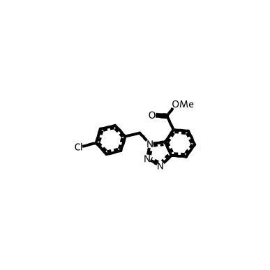 COC(=O)c1cccc2nnn(Cc3ccc(Cl)cc3)c12